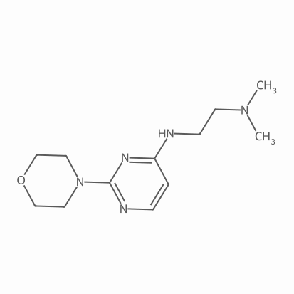 CN(C)CCNc1ccnc(N2CCOCC2)n1